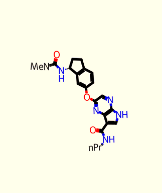 CCCNC(=O)c1c[nH]c2ncc(Oc3ccc4c(c3)[C@H](NC(=O)NC)CC4)nc12